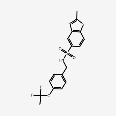 Cc1nc2cc(S(=O)(=O)NCc3ccc(OC(F)(F)F)cc3)ccc2s1